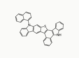 c1ccc2c(-n3c4ccccc4c4cc5c(cc43)sc3c5c4ccccc4c4[nH]c5ccccc5c43)cccc2c1